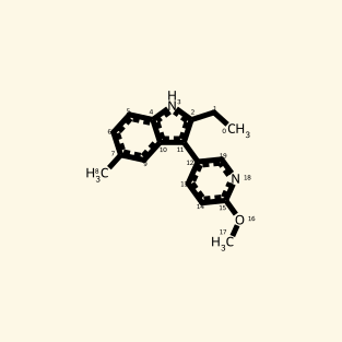 CCc1[nH]c2ccc(C)cc2c1-c1ccc(OC)nc1